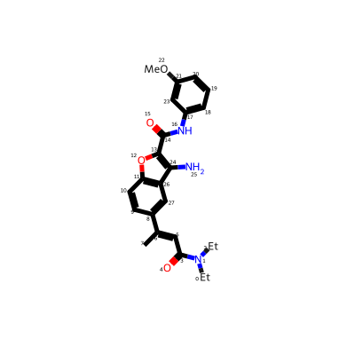 CCN(CC)C(=O)C=C(C)c1ccc2oc(C(=O)Nc3cccc(OC)c3)c(N)c2c1